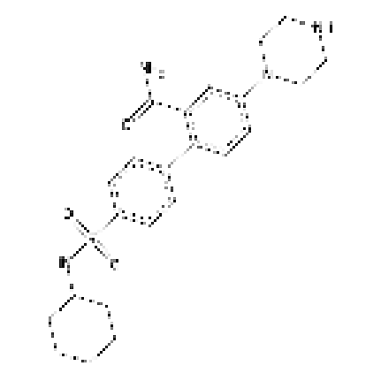 NC(=O)c1[c]c(N2CCNCC2)ccc1-c1ccc(S(=O)(=O)NC2CCCCC2)cc1